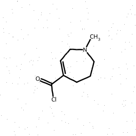 CN1CC=C(C(=O)Cl)CCC1